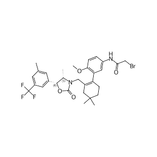 COc1ccc(NC(=O)CBr)cc1C1=C(CN2C(=O)O[C@H](c3cc(C)cc(C(F)(F)F)c3)[C@@H]2C)CC(C)(C)CC1